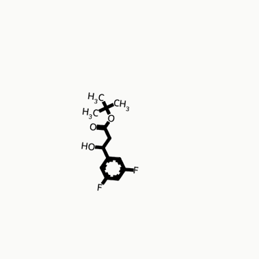 CC(C)(C)OC(=O)CC(O)c1cc(F)cc(F)c1